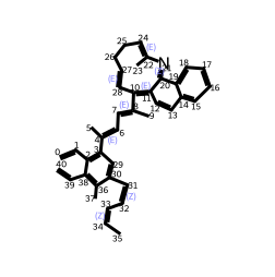 C=Cc1c(/C(C)=C/C=C(C)/C2=c3\ccc4ccccc4\c3=N\C(C)=C\CC\C=C\2)cc(/C=C\C=C/C)c(C)c1C=C